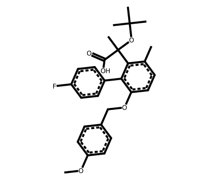 COc1ccc(COc2ccc(C)c(C(C)(OC(C)(C)C)C(=O)O)c2-c2ccc(F)cc2)cc1